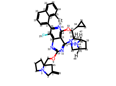 C=C1CN2CCCC2(COc2nc3c4c(nc(-c5cccc6cccc(CC)c56)c(F)c4n2)O[C@@H](C2CC2)[C@@H]2[C@@H]4CC[C@H](CN32)N4)C1